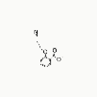 COC(=O)c1ccccc1OCCCC#N